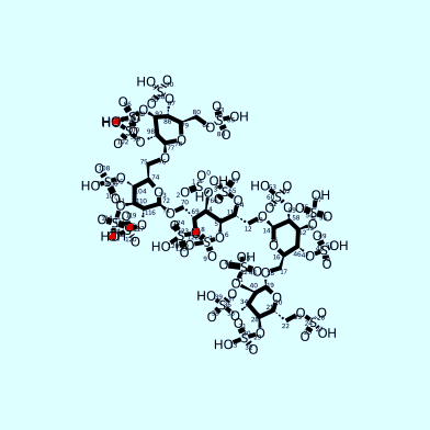 O=[SH](=O)O[C@@H]([C@H](OS(=O)(=O)O)[C@@H](CO[C@@H]1O[C@H](CO[C@@H]2O[C@H](COS(=O)(=O)O)[C@@H](OS(=O)(=O)O)[C@H](OS(=O)(=O)O)[C@H]2OS(=O)(=O)O)[C@@H](OS(=O)(=O)O)[C@H](OS(=O)(=O)O)[C@H]1OS(=O)(=O)O)OS(=O)(=O)O)[C@@H](CO[C@@H]1O[C@H](CO[C@@H]2O[C@H](COS(=O)(=O)O)[C@@H](OS(=O)(=O)O)[C@H](OS(=O)(=O)O)[C@H]2OS(=O)(=O)O)[C@@H](OS(=O)(=O)O)[C@H](OS(=O)(=O)O)[C@H]1OS(=O)(=O)O)OS(=O)(=O)O